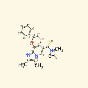 Cc1nc2c3c(c(C(=S)N(C)C)cn2c1C)CC[C@@H](c1ccccc1)O3